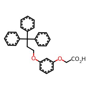 O=C(O)COc1cccc(OCCC(c2ccccc2)(c2ccccc2)c2ccccc2)c1